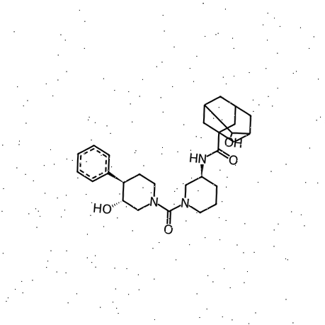 O=C(N1CCC[C@H](NC(=O)C23CC4CC(C2)C(O)C(C4)C3)C1)N1CC[C@H](c2ccccc2)[C@@H](O)C1